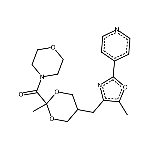 Cc1oc(-c2ccncc2)nc1CC1COC(C)(C(=O)N2CCOCC2)OC1